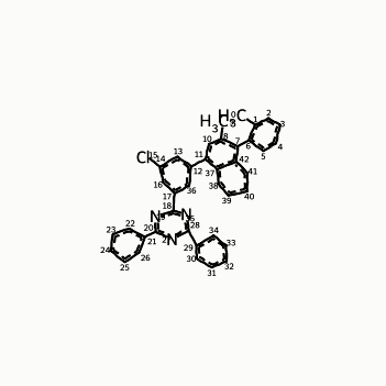 Cc1ccccc1-c1c(C)cc(-c2cc(Cl)cc(-c3nc(-c4ccccc4)nc(-c4ccccc4)n3)c2)c2ccccc12